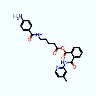 Cc1ccnc(NC(=O)c2ccccc2C(=O)OC(=O)CCCCNC(=O)c2ccc(N)cc2)c1